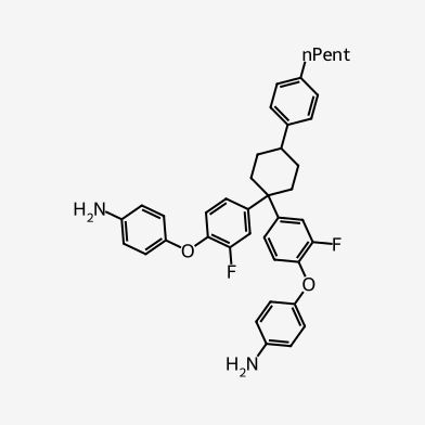 CCCCCc1ccc(C2CCC(c3ccc(Oc4ccc(N)cc4)c(F)c3)(c3ccc(Oc4ccc(N)cc4)c(F)c3)CC2)cc1